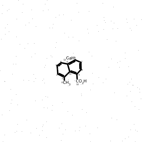 Cc1cccc2cccc(C(=O)O)c12.[GaH3]